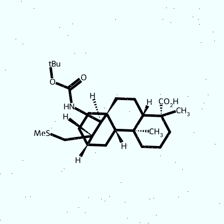 CSC[C@H]1[C@H]2CC[C@@]3(CC[C@H]4[C@@](C)(CCC[C@@]4(C)C(=O)O)[C@@H]3C2)[C@@H]1NC(=O)OC(C)(C)C